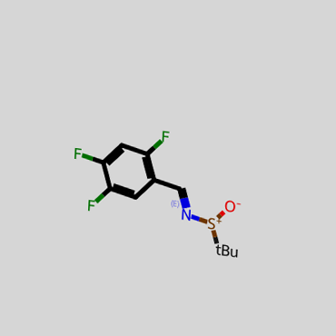 CC(C)(C)[S+]([O-])/N=C/c1cc(F)c(F)cc1F